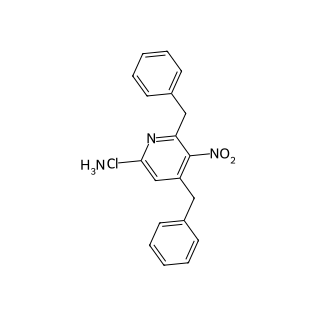 N.O=[N+]([O-])c1c(Cc2ccccc2)cc(Cl)nc1Cc1ccccc1